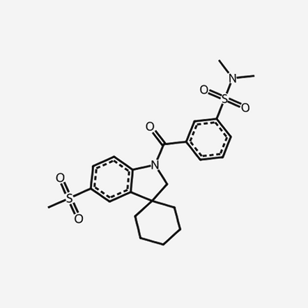 CN(C)S(=O)(=O)c1cccc(C(=O)N2CC3(CCCCC3)c3cc(S(C)(=O)=O)ccc32)c1